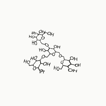 CC(C)C1OC(CO)C(O)C(OCC2OC(COCC3OC(CO)C(O)C(O)C3O)C(O)C(OCC3OC(CO)C(O)(C(C)C)C(O)C3O)C2O)C1O